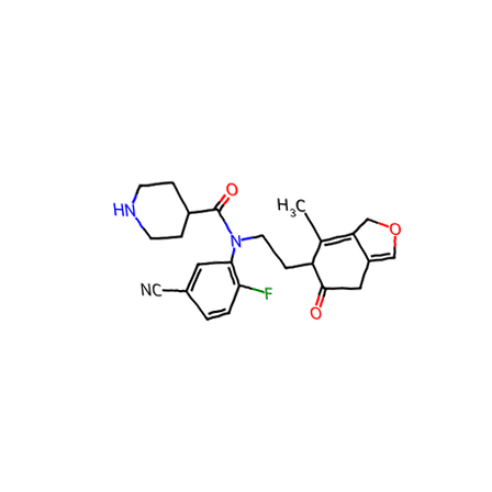 CC1=C2COC=C2CC(=O)C1CCN(C(=O)C1CCNCC1)c1cc(C#N)ccc1F